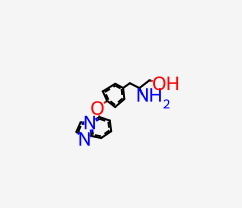 NC(CO)Cc1ccc(Oc2cccc3nccn23)cc1